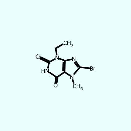 CCn1c(=O)[nH]c(=O)c2c1nc(Br)n2C